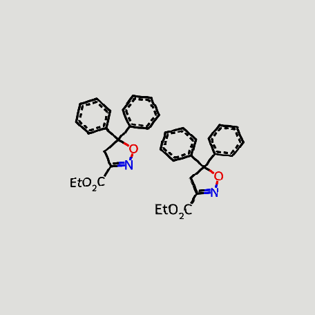 CCOC(=O)C1=NOC(c2ccccc2)(c2ccccc2)C1.CCOC(=O)C1=NOC(c2ccccc2)(c2ccccc2)C1